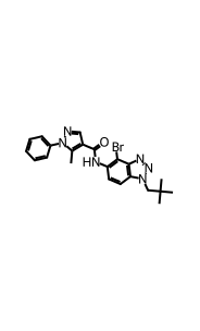 Cc1c(C(=O)Nc2ccc3c(nnn3CC(C)(C)C)c2Br)cnn1-c1ccccc1